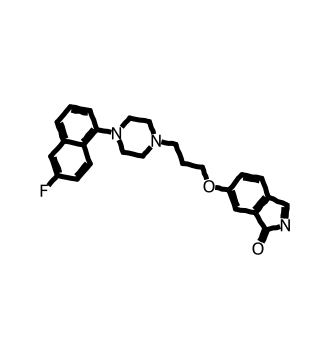 O=C1N=Cc2ccc(OCCCN3CCN(c4cccc5cc(F)ccc45)CC3)cc21